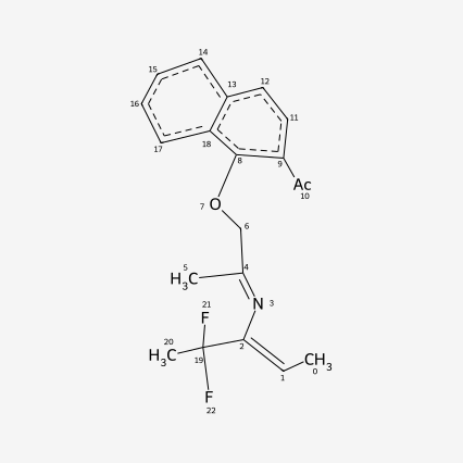 C/C=C(\N=C(/C)COc1c(C(C)=O)ccc2ccccc12)C(C)(F)F